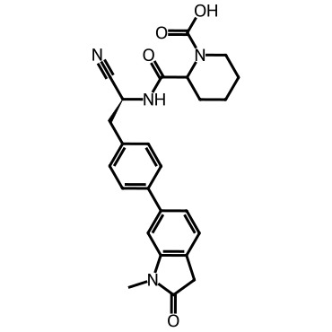 CN1C(=O)Cc2ccc(-c3ccc(C[C@@H](C#N)NC(=O)C4CCCCN4C(=O)O)cc3)cc21